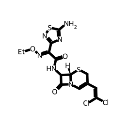 CCON=C(C(=O)NC1C(=O)N2C=C(C=C(Cl)Cl)CS[C@@H]12)c1nsc(N)n1